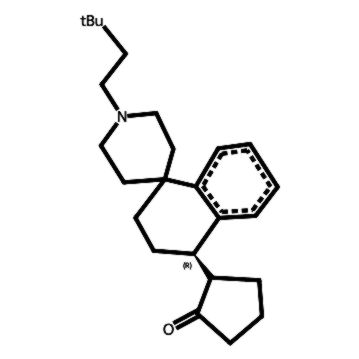 CC(C)(C)CCN1CCC2(CC[C@H](C3CCCC3=O)c3ccccc32)CC1